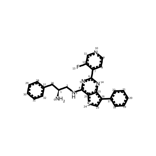 N[C@H](CNc1nc(-c2ccncc2F)nc2c(-c3ccccc3)csc12)Cc1ccccc1